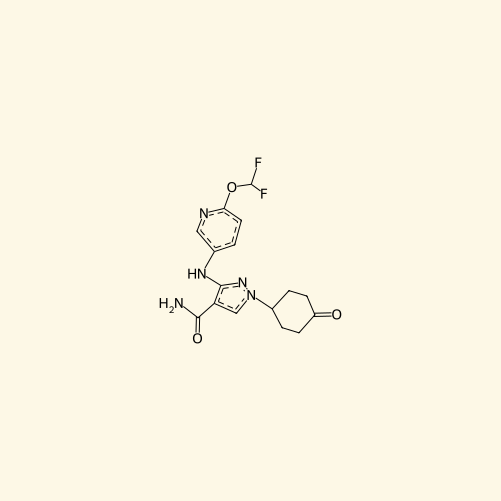 NC(=O)c1cn(C2CCC(=O)CC2)nc1Nc1ccc(OC(F)F)nc1